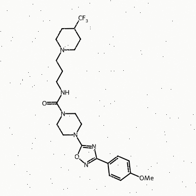 COc1ccc(-c2noc(N3CCN(C(=O)NCCCN4CCC(C(F)(F)F)CC4)CC3)n2)cc1